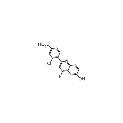 O=C(O)c1ccc(-c2cc(F)c3cc(O)ccc3n2)c(Cl)c1